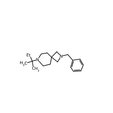 CCC(C)(C)N1CCC2(CC1)CN(Cc1ccccc1)C2